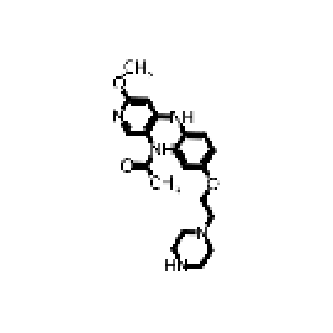 COc1cc(Nc2ccc(OCCN3CCNCC3)cc2)c(NC(C)=O)cn1